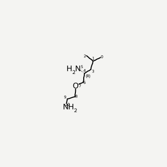 CC(C)C[C@@H](N)COCCN